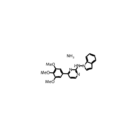 COc1cc(-c2ccnc(Nn3ccc4ccccc43)n2)cc(OC)c1OC.N